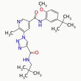 COc1ccc(C(C)(C)C)cc1NC(=O)c1cnc(C)c(-n2cc(C(=O)NCC(C)(C)C)nn2)c1